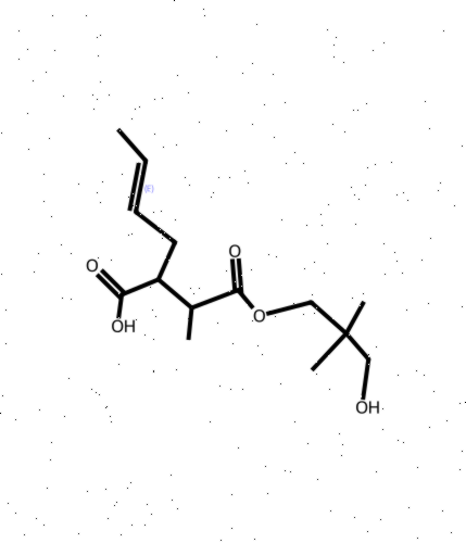 C/C=C/CC(C(=O)O)C(C)C(=O)OCC(C)(C)CO